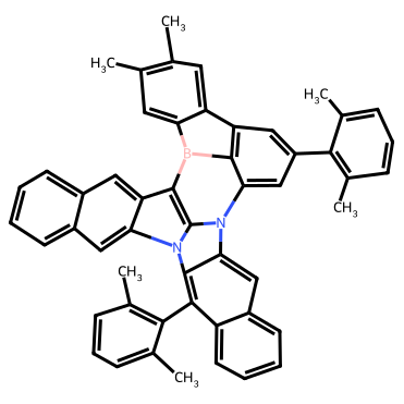 Cc1cc2c(cc1C)-c1cc(-c3c(C)cccc3C)cc3c1B2c1c2cc4ccccc4cc2n2c4c(-c5c(C)cccc5C)c5ccccc5cc4n-3c12